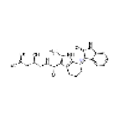 CCN(CC)CC(O)CNC(=O)c1c(C)[nH]c2c1CCC/C2=C1/C(=O)Nc2ccccc21